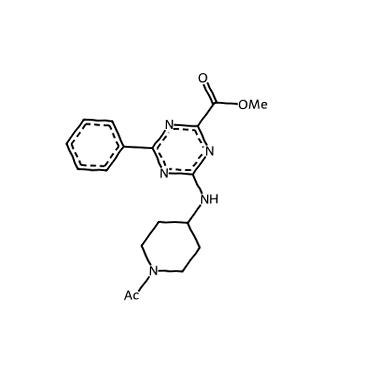 COC(=O)c1nc(NC2CCN(C(C)=O)CC2)nc(-c2ccccc2)n1